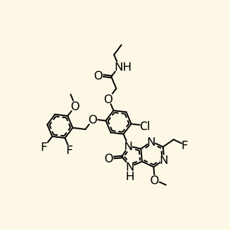 CCNC(=O)COc1cc(Cl)c(-n2c(=O)[nH]c3c(OC)nc(CF)nc32)cc1OCc1c(OC)ccc(F)c1F